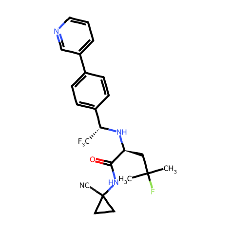 CC(C)(F)C[C@H](N[C@@H](c1ccc(-c2cccnc2)cc1)C(F)(F)F)C(=O)NC1(C#N)CC1